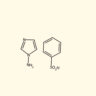 Nn1ccnc1.O=S(=O)(O)c1ccccc1